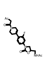 CC(=O)CC(=O)N1CC=C(c2ccc(N3CC(CNC(C)=O)OC3=O)cc2F)CC1